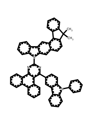 CC1(C)c2ccccc2-c2c1ccc1cc3c(cc21)c1ccccc1n3-c1nc(-c2ccc3c(c2)c2ccccc2n3-c2ccccc2)c2c3ccccc3c3ccccc3c2n1